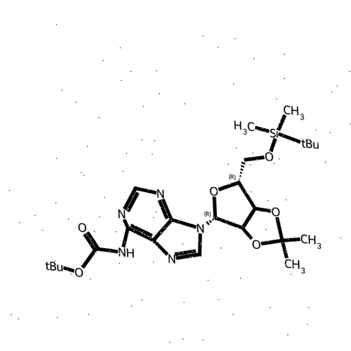 CC(C)(C)OC(=O)Nc1ncnc2c1ncn2[C@@H]1O[C@H](CO[Si](C)(C)C(C)(C)C)C2OC(C)(C)OC21